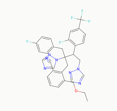 CCOCc1cccc(C#N)c1CC(Cc1ccc(F)cc1)(C(Cn1cncn1)c1ccc(C(F)(F)F)cc1F)n1cncn1